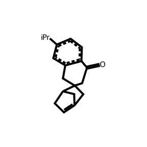 CC(C)c1ccc2c(c1)CC1(CC2=O)CC2=CCC1C2